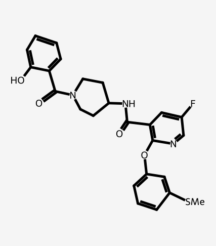 CSc1cccc(Oc2ncc(F)cc2C(=O)NC2CCN(C(=O)c3ccccc3O)CC2)c1